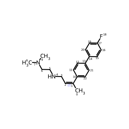 C/C(=C/CNCCN(C)C)c1ccc(-c2ccc(F)cc2)cc1